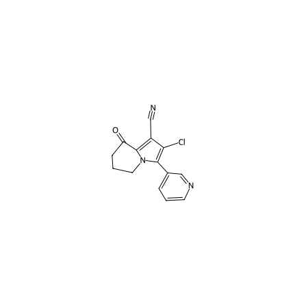 N#Cc1c(Cl)c(-c2cccnc2)n2c1C(=O)CCC2